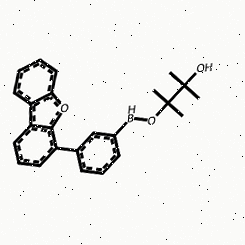 CC(C)(O)C(C)(C)OBc1cccc(-c2cccc3c2oc2ccccc23)c1